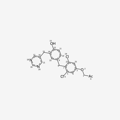 CC(=O)COc1cc(Cl)c(Cc2ccc(O)c(Cc3cncnc3)c2)c(Cl)c1